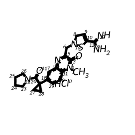 Cl.Cn1c(=O)c(CN2CC=C(C(=N)N)S2)nc2cc(C3(C(=O)N4CCCC4)CC3)ccc21